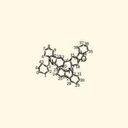 c1ccc(-n2c3ccccc3c3cc(-c4cc5c(cc4-n4c6ccccc6c6ccccc64)oc4ccccc45)ccc32)cc1